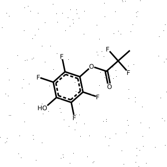 CC(F)(F)C(=O)Oc1c(F)c(F)c(O)c(F)c1F